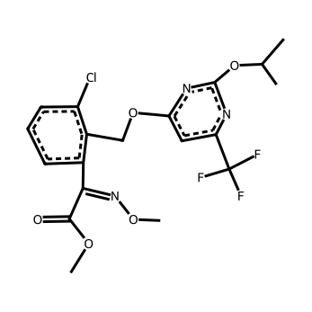 CON=C(C(=O)OC)c1cccc(Cl)c1COc1cc(C(F)(F)F)nc(OC(C)C)n1